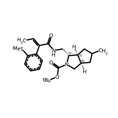 CC=C(C(=O)NC[C@@H]1[C@H]2CC(C)C[C@H]2CN1C(=O)OC(C)(C)C)c1ccccc1SC